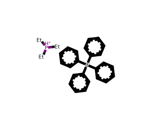 CC[PH+](CC)CC.c1ccc([B-](c2ccccc2)(c2ccccc2)c2ccccc2)cc1